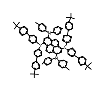 Cc1ccc(N(c2ccc(C)cc2)c2cc(N(c3ccc(-c4ccc(C(C)(C)C)cc4)cc3)c3ccc(-c4ccc(C(C)(C)C)cc4)cc3)c3ccc4c(N(c5ccc(C)cc5)c5ccc(C)cc5)cc(N(c5ccc(-c6ccc(C(C)(C)C)cc6)cc5)c5ccc(-c6ccc(C(C)(C)C)cc6)cc5)c5ccc2c3c45)cc1